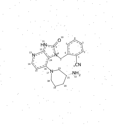 N#Cc1ccccc1Cn1c(=O)[nH]c2nccc(N3CCC[C@@H](N)C3)c21